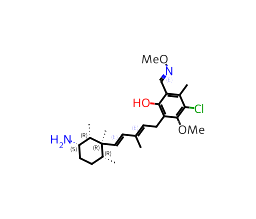 CO/N=C/c1c(C)c(Cl)c(OC)c(C/C=C(C)/C=C/[C@@]2(C)[C@H](C)CC[C@H](N)[C@@H]2C)c1O